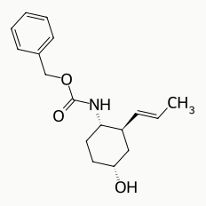 CC=C[C@H]1C[C@H](O)CC[C@@H]1NC(=O)OCc1ccccc1